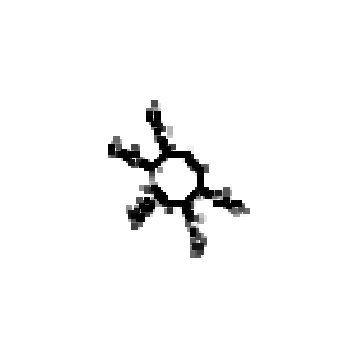 O=C=C1C=CC(=C=O)C(=C=O)C=CC1=C=O.[W+4].[W]